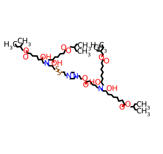 CCC(CC)COC(=O)CCCCCCC(O)CN(CCCCC(=O)OCCN1CCN(CCSSCCCN(CC(O)CCCCC(=O)OCC(CC)CC)CC(O)CCCCC(=O)OCC(CC)CC)CC1)CC(O)CCCCCCC(=O)OCC(CC)CC